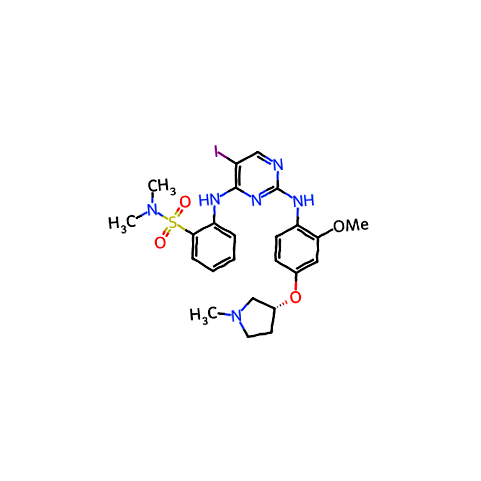 COc1cc(O[C@@H]2CCN(C)C2)ccc1Nc1ncc(I)c(Nc2ccccc2S(=O)(=O)N(C)C)n1